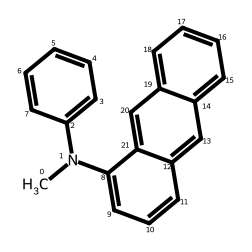 CN(c1ccccc1)c1cccc2cc3ccccc3cc12